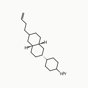 C=CCCC1CC[C@@H]2C[C@H](C3CCC(CCC)CC3)CC[C@@H]2C1